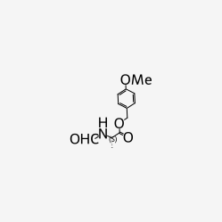 COc1ccc(COC(=O)[C@H](C)NC=O)cc1